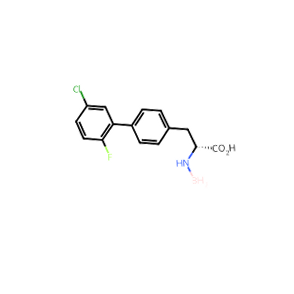 BN[C@H](Cc1ccc(-c2cc(Cl)ccc2F)cc1)C(=O)O